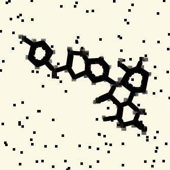 CC1=C(C(=O)Nc2ccc3c(c2)CC(Nc2ccc(F)cc2)=NN3)C(c2ccc(F)c(F)c2)NC(=O)N1